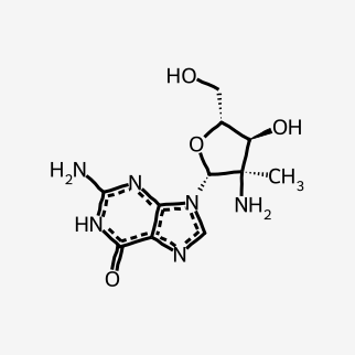 C[C@@]1(N)[C@H](O)[C@@H](CO)O[C@H]1n1cnc2c(=O)[nH]c(N)nc21